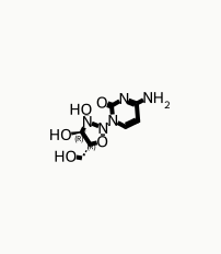 Nc1ccn(N2O[C@H](CO)[C@@H](O)N2O)c(=O)n1